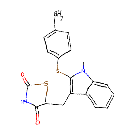 Bc1ccc(Sc2c(CC3SC(=O)NC3=O)c3ccccc3n2C)cc1